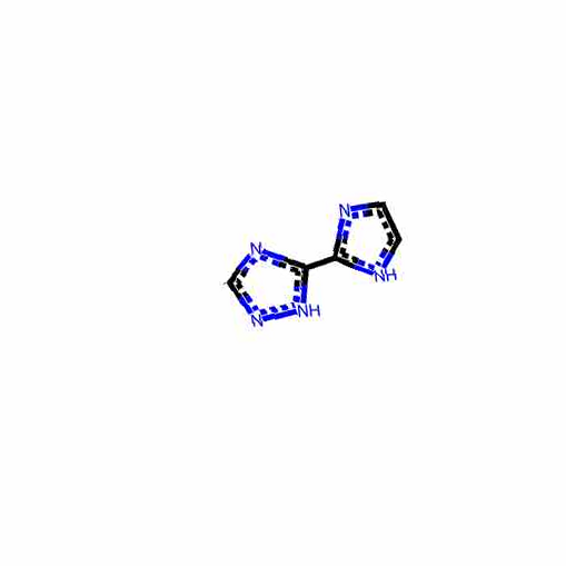 [c]1n[nH]c(-c2ncc[nH]2)n1